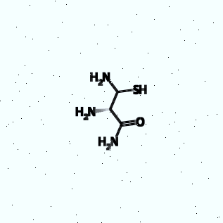 NC(=O)[C@H](N)C(N)S